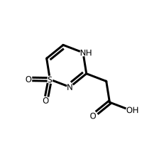 O=C(O)CC1=NS(=O)(=O)C=CN1